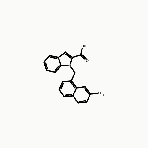 Cc1ccc2cccc(Cn3c(C(=O)O)cc4ccccc43)c2c1